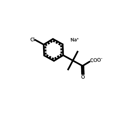 CC(C)(C(=O)C(=O)[O-])c1ccc(Cl)cc1.[Na+]